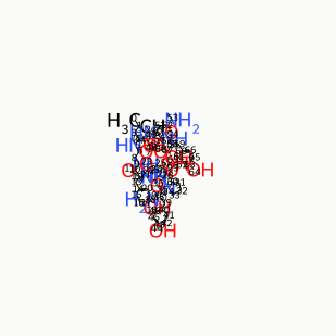 CC(C)C[C@H](NC(=O)CNC(=O)[C@H](Cc1ccc(O)cc1)NC(=O)[C@H](CO)NC(=O)[C@@H]1CCCN1C(=O)[C@@H](N)Cc1ccc(O)cc1)C(=O)N[C@@H](CC(N)=O)C(=O)N[C@@H](Cc1ccc(O)cc1)C(=O)O